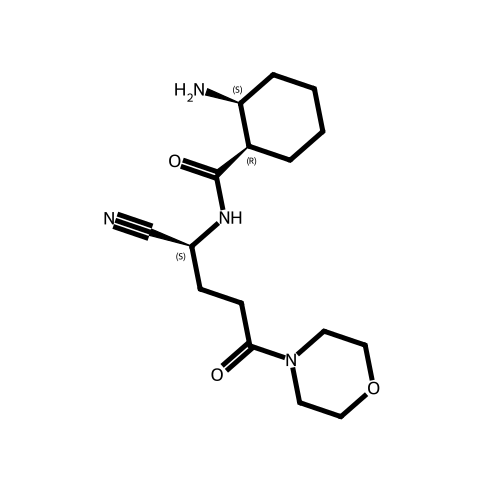 N#C[C@H](CCC(=O)N1CCOCC1)NC(=O)[C@@H]1CCCC[C@@H]1N